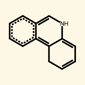 C1=CCC2=c3ccccc3=CNC2=C1